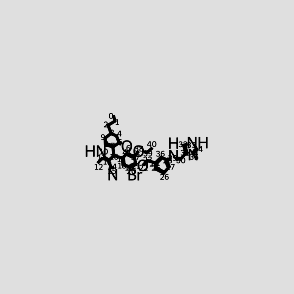 CCCC1CC(=O)C2=C(C1)NC(C)=C(C#N)C2c1cc(Br)c(OCc2cccc(NCc3c[nH]cn3)c2)c(OCC)c1